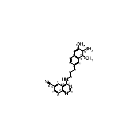 BC1=Cc2ccc(CCCNc3ncnc4ccc(C#N)cc34)cc2C(C)C1B